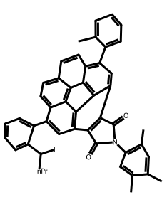 CCCC(I)c1ccccc1-c1cc2c3c(=O)n(-c4cc(C)c(C)cc4C)c(=O)c3c3cc(-c4ccccc4C)c4ccc5ccc1c1c5c4c3c21